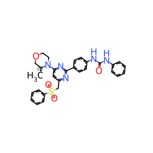 C[C@H]1COCCN1c1cc(CS(=O)(=O)c2ccccc2)nc(-c2ccc(NC(=O)Nc3ccccc3)cc2)n1